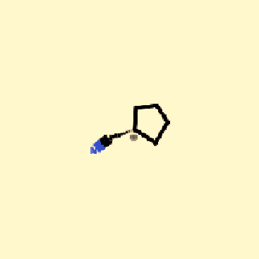 N#C[C@H]1[CH]CCC1